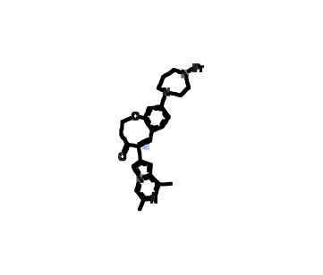 Cc1cn2cc(/C3=C/c4ccc(N5CCCN(C(C)C)CC5)cc4OCCC3=O)cc2c(C)n1